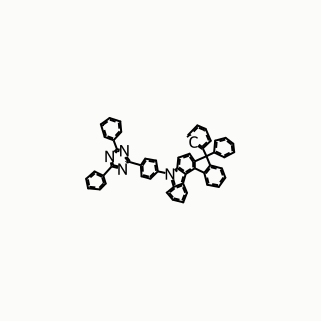 c1ccc(-c2nc(-c3ccccc3)nc(-c3ccc(-n4c5ccccc5c5c6c(ccc54)C(c4ccccc4)(c4ccccc4)c4ccccc4-6)cc3)n2)cc1